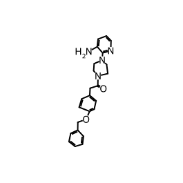 Nc1cccnc1N1CCN(C(=O)Cc2ccc(OCc3ccccc3)cc2)CC1